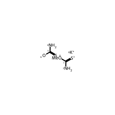 COC(N)=S.NC([O-])=S.[K+]